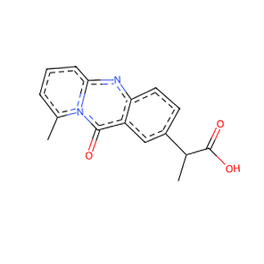 Cc1cccc2nc3ccc(C(C)C(=O)O)cc3c(=O)n12